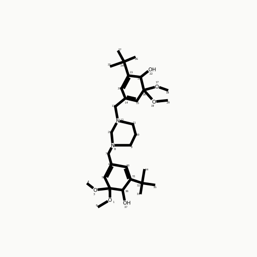 COC1(OC)C=C(CN2CCCN(CC3=CC(OC)(OC)C(O)C(C(C)(C)C)=C3)C2)C=C(C(C)(C)C)C1O